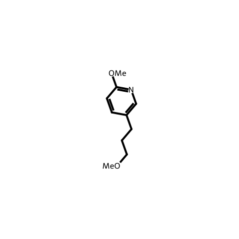 COCCCc1ccc(OC)nc1